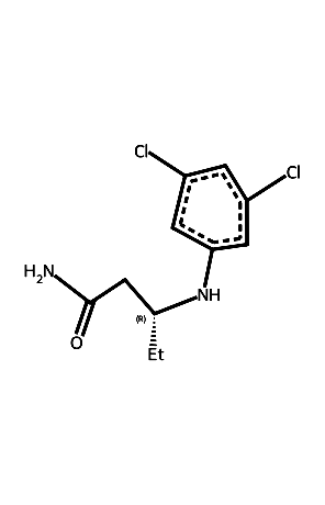 CC[C@H](CC(N)=O)Nc1cc(Cl)cc(Cl)c1